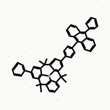 CC1(C)c2cccc3c2N2c4c1cc(-c1ccccc1)cc4C(C)(C)c1cc(-c4ccc(-c5c6ccccc6c(-c6ccccc6)c6ccccc56)cc4)cc(c12)C3(C)C